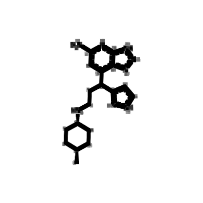 C[C@H]1CC[C@H](NCCC(c2cc[nH]n2)c2cc(N)nc3[nH]nnc23)CC1